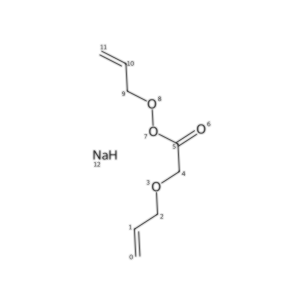 C=CCOCC(=O)OOCC=C.[NaH]